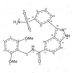 COc1cccc(OC)c1CNC(=O)c1ccc2[nH]nc(-c3cccc(S(N)(=O)=O)c3)c2c1